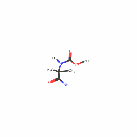 CCCOC(=O)N(C)C(C)(C)C(N)=O